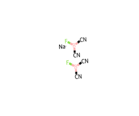 N#CB(F)C#N.N#CB(F)C#N.[Na]